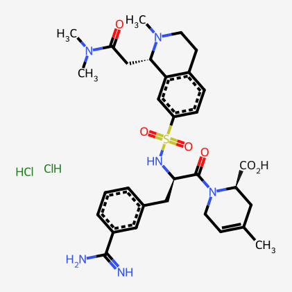 CC1=CCN(C(=O)[C@@H](Cc2cccc(C(=N)N)c2)NS(=O)(=O)c2ccc3c(c2)[C@H](CC(=O)N(C)C)N(C)CC3)[C@@H](C(=O)O)C1.Cl.Cl